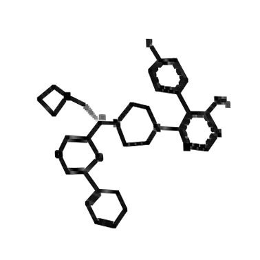 Nc1ncnc(N2CCN([C@@H](CN3CCC3)C3=COC=C(C4=CC=CCC4)O3)CC2)c1-c1ccc(F)cc1